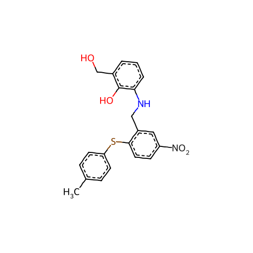 Cc1ccc(Sc2ccc([N+](=O)[O-])cc2CNc2cccc(CO)c2O)cc1